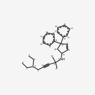 CCN(CC)CC#CC(C)(C)NC1C=CC(c2ccccc2)(c2ccccc2)C1